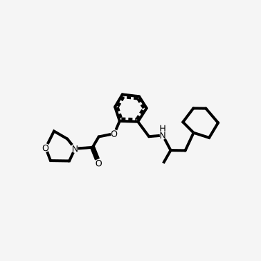 CC(CC1CCCCC1)NCc1ccccc1OCC(=O)N1CCOCC1